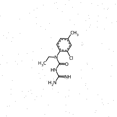 CCN(C(=O)NC(=N)N)c1ccc(C)cc1Cl